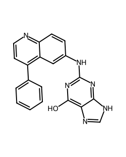 Oc1nc(Nc2ccc3nccc(-c4ccccc4)c3c2)nc2[nH]cnc12